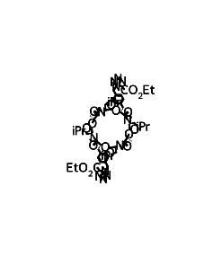 CCOC(=O)c1nnnn1Cc1ccc(C[C@H]2OC(=O)[C@H](CC(C)C)N(C)C(=O)[C@@H](C)OC(=O)[C@H](CC(C)C)N(C)C(=O)[C@@H](Cc3ccc(Cn4nnnc4C(=O)OCC)cc3)OC(=O)[C@H](CC(C)C)N(C)C(=O)[C@@H](C)OC(=O)[C@H](CC(C)C)N(C)C2=O)cc1